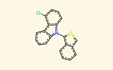 Clc1cccc2c1c1ccccc1n2-c1scc2ccccc12